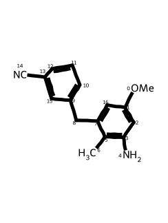 COc1cc(N)c(C)c(Cc2cccc(C#N)c2)c1